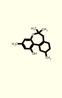 Cc1cc(O)c2c(c1)OC(C)(C)CC1=C2CC(C)CC1